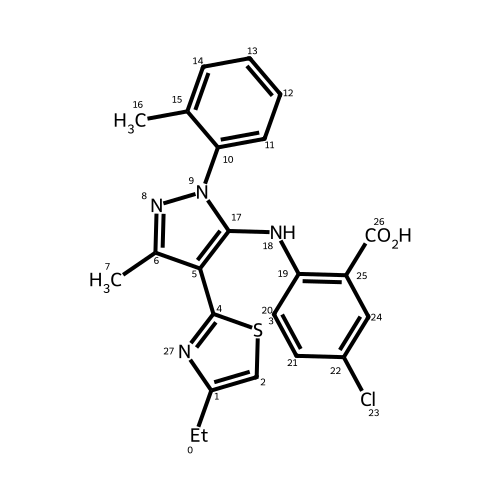 CCc1csc(-c2c(C)nn(-c3ccccc3C)c2Nc2ccc(Cl)cc2C(=O)O)n1